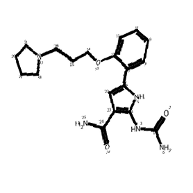 NC(=O)Nc1[nH]c(-c2ccccc2OCCCN2CCCC2)cc1C(N)=O